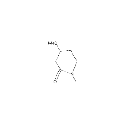 COC1CCN(C)C(=O)C1